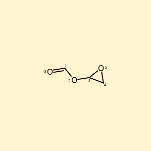 O=COC1CO1